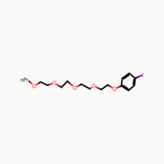 CCCOCCOCCOCCOCCOc1ccc(I)cc1